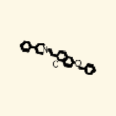 O=C1c2ccc(OCc3ccccc3)cc2CCC1CCN1CCC(c2ccccc2)CC1